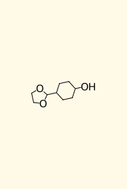 OC1CCC(C2OCCO2)CC1